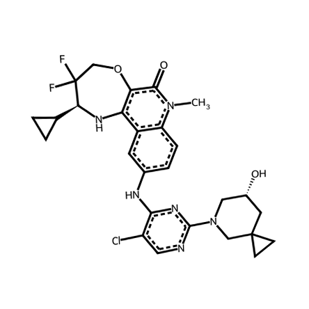 Cn1c(=O)c2c(c3cc(Nc4nc(N5C[C@H](O)CC6(CC6)C5)ncc4Cl)ccc31)N[C@@H](C1CC1)C(F)(F)CO2